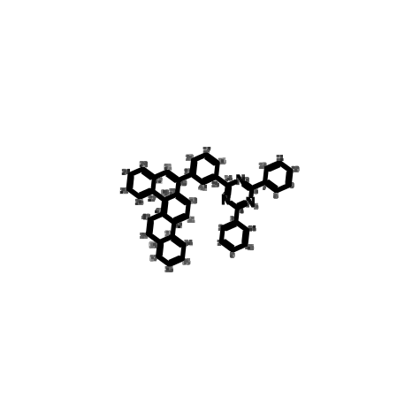 c1ccc(-c2nc(-c3ccccc3)nc(-c3cccc(-c4cc5ccccc5c5c4ccc4c6ccccc6ccc45)c3)n2)cc1